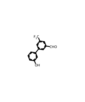 O=Cc1cc(-c2cccc(O)c2)cc(C(F)(F)F)c1